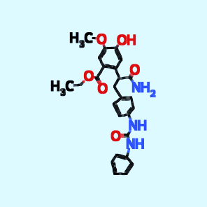 CCOC(=O)c1cc(OC)c(O)cc1C(Cc1ccc(NC(=O)Nc2ccccc2)cc1)C(N)=O